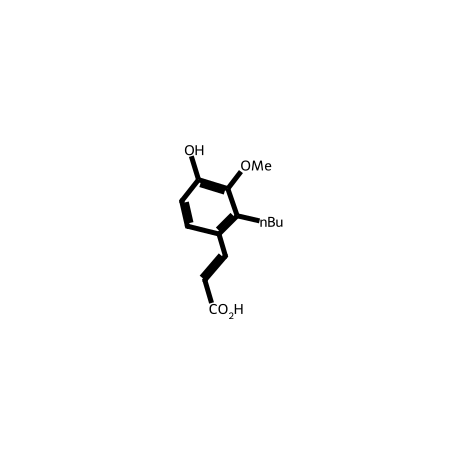 CCCCc1c(C=CC(=O)O)ccc(O)c1OC